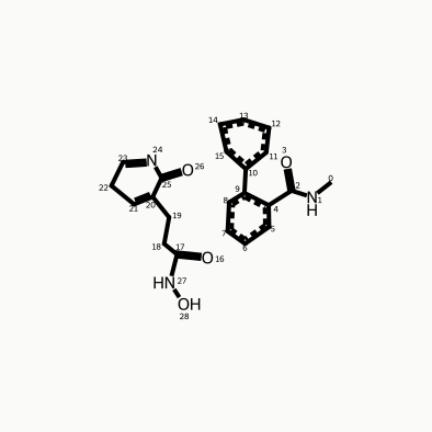 CNC(=O)c1ccccc1-c1ccccc1.O=C(CCC1=CCC=NC1=O)NO